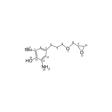 CC(C)(C)c1cc(CCCOCC2CO2)cc(N)c1O